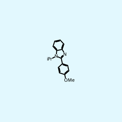 COc1ccc(-c2nc3ccccc3n2C(C)C)cc1